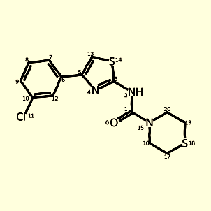 O=C(Nc1nc(-c2cccc(Cl)c2)cs1)N1CCSCC1